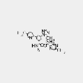 Cc1ccc(-c2cc(C(=O)NC3CC3)cc(-n3ncnc3C)c2)nc1.Cc1cnc(C(N)=O)cn1